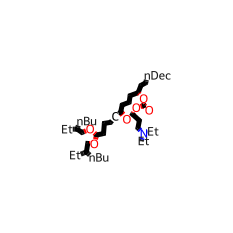 CCCCCCCCCCCCC(CCCC(=O)CCCCC(OCC(CC)CCCC)OCC(CC)CCCC)OC(=O)OCCCN(CC)CC